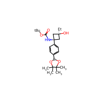 CC[C@]1(O)C[C@](NC(=O)OC(C)(C)C)(c2ccc(B3OC(C)(C)C(C)(C)O3)cc2)C1